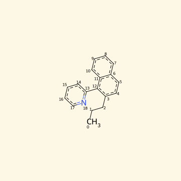 CCCc1ccc2ccccc2c1-c1ccccn1